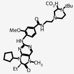 CC[C@@H]1C(=O)N(C)c2cnc(Nc3ccc(C(=O)NCCN4CCN(C(C)(C)C)C(C(=O)O)C4)cc3OC)nc2N1C1CCCC1